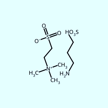 C[N+](C)(C)CCS(=O)(=O)[O-].NCCCS(=O)(=O)O